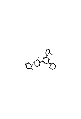 Cc1cccnc1N1CCN(c2cc(N3CCCCC3)nc(N3CCC[C@H]3C)c2)[C@H](C)C1